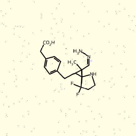 CC1(/C=N\N)C(Cc2ccc(CC(=O)O)cc2)C12NCCC2(F)F